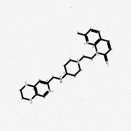 Cc1ccc2ccc(=O)n(CCN3CCC(NCc4cc5c(cn4)OCCO5)CC3)c2n1